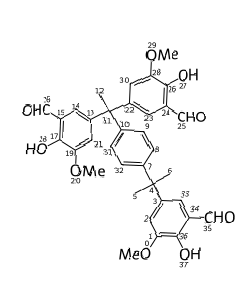 COc1cc(C(C)(C)c2ccc(C(C)(c3cc(C=O)c(O)c(OC)c3)c3cc(C=O)c(O)c(OC)c3)cc2)cc(C=O)c1O